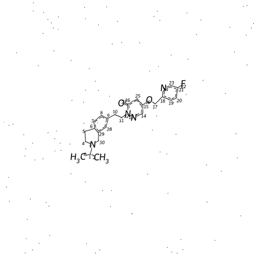 CC(C)N1CCc2ccc(CCn3ncc(OCc4ccc(F)cn4)cc3=O)cc2C1